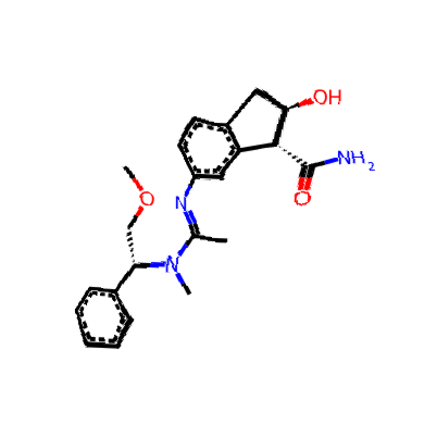 COC[C@@H](c1ccccc1)N(C)C(C)=Nc1ccc2c(c1)[C@@H](C(N)=O)[C@H](O)C2